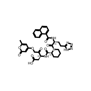 Cc1cc(OCC(=O)[C@H](CC(=O)O)NC(=O)[C@@H]2CCCCN2C(=O)[C@H](CCc2nnn[nH]2)NC(=O)c2cccc3ccccc23)cc(=O)o1